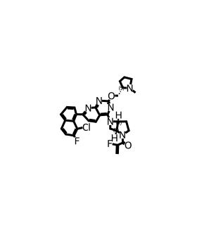 C=C(F)C(=O)N1CC[C@@H]2[C@H]1CN2c1nc(OC[C@@H]2CCCN2C)nc2nc(-c3cccc4ccc(F)c(Cl)c34)ccc12